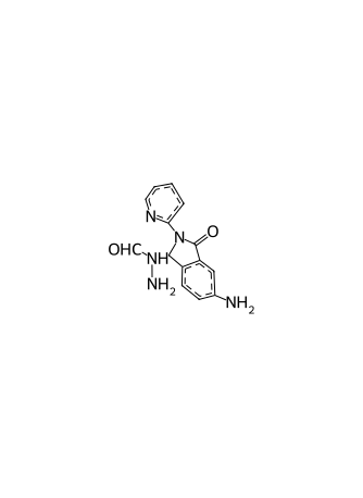 NNC=O.Nc1ccc2c(c1)C(=O)N(c1ccccn1)C2